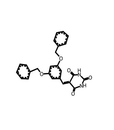 O=C1NC(=O)C(=Cc2cc(OCc3ccccc3)cc(OCc3ccccc3)c2)C(=O)N1